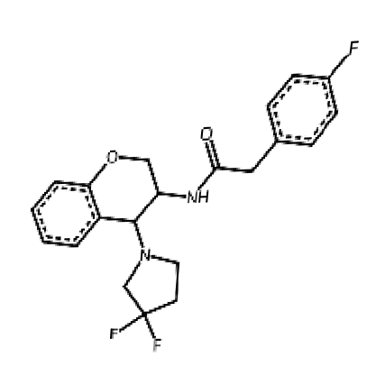 O=C(Cc1ccc(F)cc1)NC1COc2ccccc2C1N1CCC(F)(F)C1